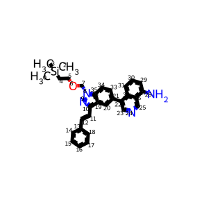 C[Si](C)(C)CCOCn1nc(/C=C/c2ccccc2)c2cc(-c3cncc4c(N)cccc34)ccc21